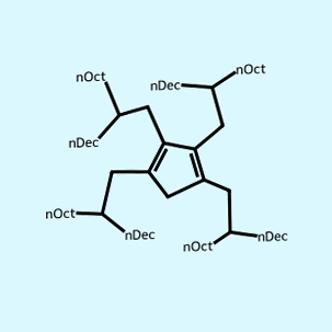 CCCCCCCCCCC(CCCCCCCC)CC1=C(CC(CCCCCCCC)CCCCCCCCCC)C(CC(CCCCCCCC)CCCCCCCCCC)=C(CC(CCCCCCCC)CCCCCCCCCC)C1